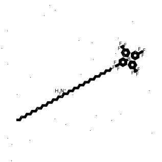 CCCCCCCCCCCCCCCCCCC([NH3+])CCCCCCCCCCCCCCCCCC.FC(F)(F)c1ccc([B-](c2ccc(C(F)(F)F)cc2)(c2ccc(C(F)(F)F)cc2)c2ccc(C(F)(F)F)cc2)cc1